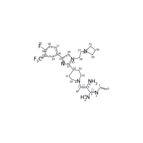 C=C/N=C(N)\C(N)=C(/C)N1CCC(c2nc(-c3ccc(F)c(C(F)(F)F)c3)cn2CCN2CCC2)CC1